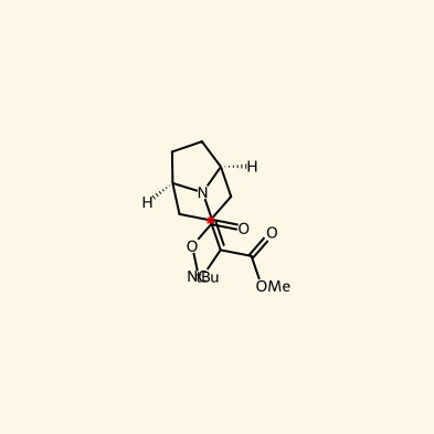 COC(=O)C(C#N)=C1C[C@H]2CC[C@@H](C1)N2C(=O)OC(C)(C)C